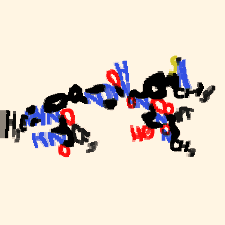 Cc1cc(C(C(=O)N2C[C@H](O)C[C@H]2C(=O)NC(CC(=O)NCC(=O)N2CCN(Cc3cccc(-c4ccc(N5CCN(C)CC5)c(NC(=O)c5c[nH]c(=O)cc5C(F)(F)F)c4)c3)CC2)c2ccc(-c3scnc3C)cc2)C(C)C)on1